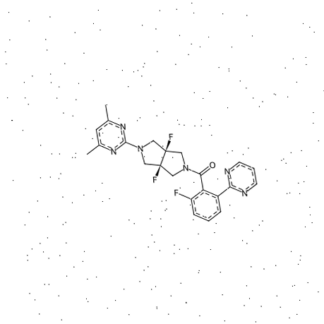 Cc1cc(C)nc(N2C[C@]3(F)CN(C(=O)c4c(F)cccc4-c4ncccn4)C[C@]3(F)C2)n1